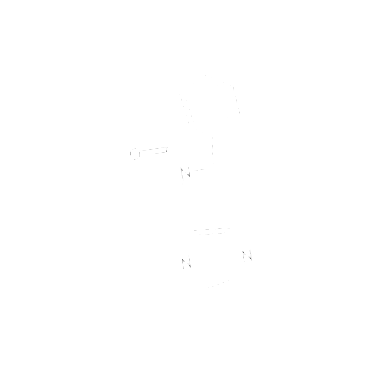 Cc1cnc(CN2Cc3ccccc3C2=O)cn1